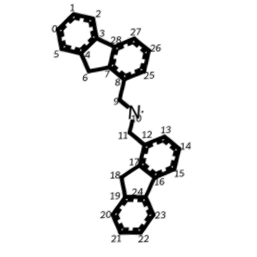 c1ccc2c(c1)Cc1c(C[N]Cc3cccc4c3Cc3ccccc3-4)cccc1-2